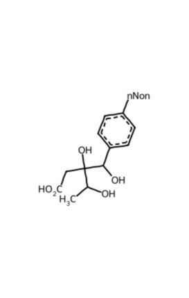 CCCCCCCCCc1ccc(C(O)C(O)(CC(=O)O)C(C)O)cc1